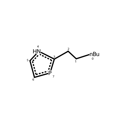 CCCCCCc1[nH]ccp1